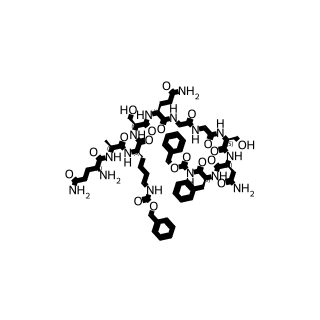 C[C@H](NC(=O)[C@@H](N)CCC(N)=O)C(=O)N[C@@H](CCCCNC(=O)OCc1ccccc1)C(=O)N[C@@H](CO)C(=O)N[C@@H](CCC(N)=O)C(=O)NCC(=O)NCC(=O)N[C@@H](CO)C(=O)N[C@@H](CC(N)=O)C(=O)N[C@@H](Cc1ccccc1)C(=O)NC(=O)OCc1ccccc1